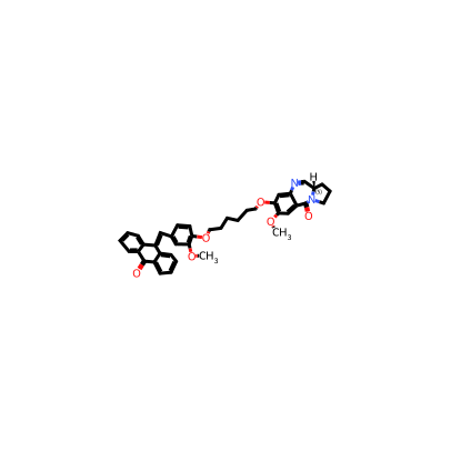 COc1cc(C=C2c3ccccc3C(=O)c3ccccc32)ccc1OCCCCCCOc1cc2c(cc1OC)C(=O)N1CCC[C@H]1C=N2